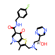 Cc1c(CN(C)C[C@@H](O)c2cnccn2)sc2c(=O)c(C(=O)NCc3ccc(F)cc3)cn(C)c12